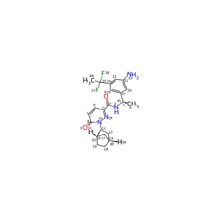 C[C@@H](NC(=O)c1ccc(=O)n(C2C[C@@H]3CC[C@H]2C3)n1)c1cc(N)cc(C(C)(F)F)c1